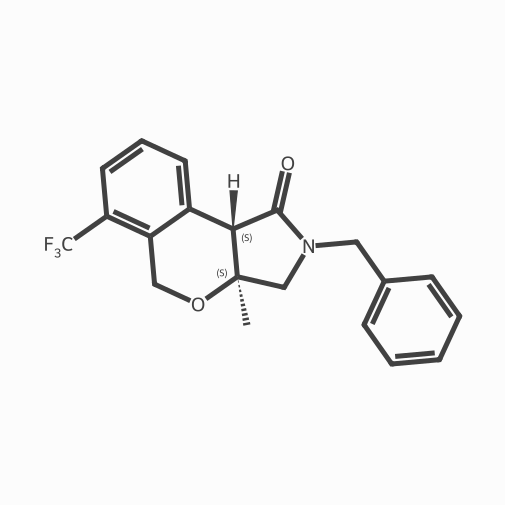 C[C@@]12CN(Cc3ccccc3)C(=O)[C@H]1c1cccc(C(F)(F)F)c1CO2